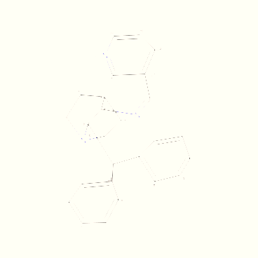 C(=N/C1C2CCN(CC2)C1C(c1ccccc1)c1ccccc1)/c1cccnc1